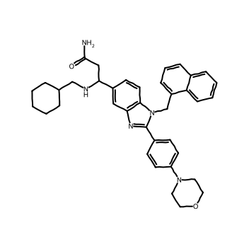 NC(=O)CC(NCC1CCCCC1)c1ccc2c(c1)nc(-c1ccc(N3CCOCC3)cc1)n2Cc1cccc2ccccc12